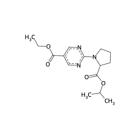 CCOC(=O)c1cnc(N2CCCC2C(=O)OC(C)C)nc1